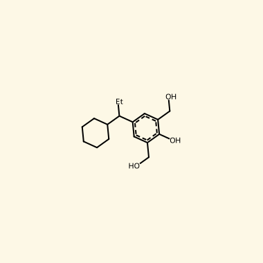 CCC(c1cc(CO)c(O)c(CO)c1)C1CCCCC1